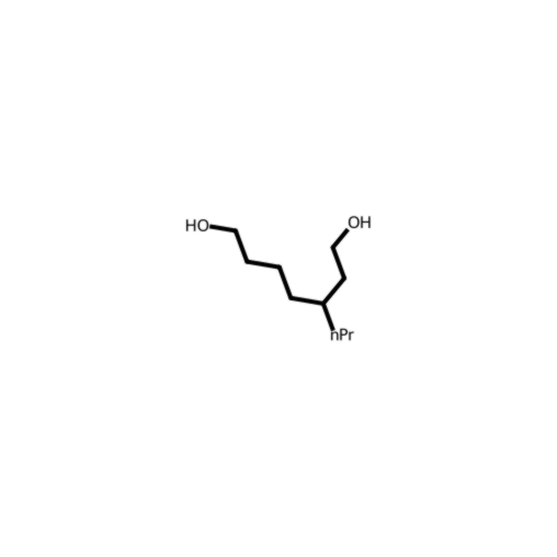 CCCC(CCO)CCCCO